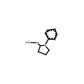 O=CNC1CCCN1c1ccccc1